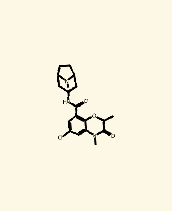 CC1Oc2c(C(=O)NC3CC4CCC(C3)N4C)cc(Cl)cc2N(C)C1=O